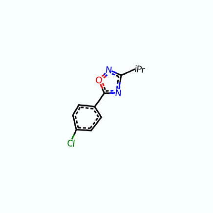 CC(C)c1noc(-c2ccc(Cl)cc2)n1